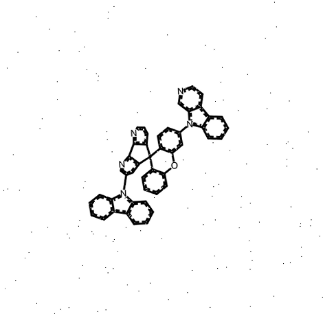 c1ccc2c(c1)Oc1cc(-n3c4ccccc4c4ccncc43)ccc1C21c2cccnc2-c2ncc(-n3c4ccccc4c4ccccc43)cc21